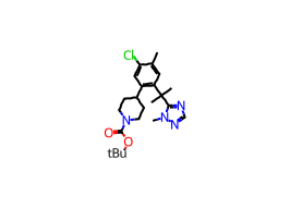 Cc1cc(C(C)(C)c2ncnn2C)c(C2CCN(C(=O)OC(C)(C)C)CC2)cc1Cl